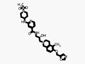 Cc1c(OCc2cnco2)ccc2c1CCN(C[C@@H](O)CNC(=O)c1ccnc(NC3CCN(S(C)(=O)=O)CC3)c1)C2